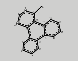 Cc1ncnc2c3ccccc3c3ccccc3c12